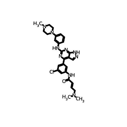 CN(C)C/C=C/C(=O)Nc1cc(Cl)cc(-c2nc(Nc3cccc(N4CCN(C)CC4)c3)nc3[nH]ncc23)c1